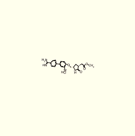 COC(=O)C[C@@H]1C[C@@H](COc2ccc(-c3ccc(C(=N)N)cc3)cc2Br)NC1=O.Cl